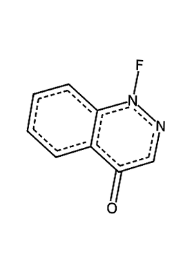 O=c1cnn(F)c2ccccc12